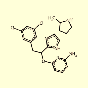 CC1CCCN1.Nc1cccc(OC(Cc2cc(Cl)cc(Cl)c2)c2ncc[nH]2)n1